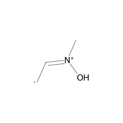 [CH2]C=[N+](C)O